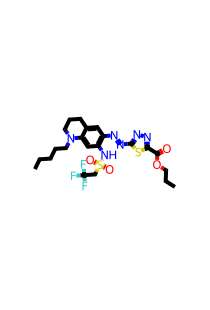 CCCCCN1CCCc2cc(N=Nc3nnc(C(=O)OCCC)s3)c(NS(=O)(=O)CC(F)(F)F)cc21